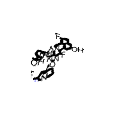 C#Cc1c(F)ccc2cc(O)cc(-c3nc(OC)c4c(N5CC6CCC(C(C)(C)O)(C5)N6)nc(OC[C@@]56CCCN5C/C(=C/F)C6)nc4c3F)c12